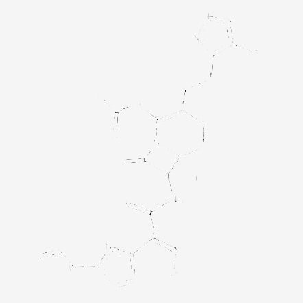 Cn1nnnc1SCC1=C(OC(=O)O)N2C(=O)C(NC(=O)C(=CCl)c3csc(NC=O)n3)[C@@H]2SC1